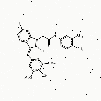 COc1cc(C=C2C(C)=C(CC(=O)Nc3ccc(C)c(C)c3)c3cc(F)ccc32)cc(OC)c1O